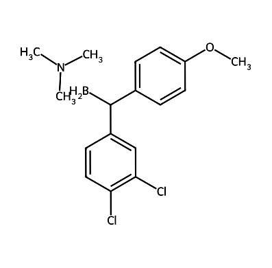 BC(c1ccc(OC)cc1)c1ccc(Cl)c(Cl)c1.CN(C)C